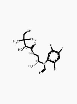 C[C@H](CNC(=O)[C@@H](O)C(C)(C)CO)N(C=O)c1cc(F)c(F)cc1F